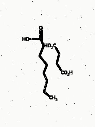 CCCCCCCC(=O)O.O=C(O)CCC(=O)O